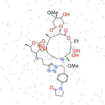 CC[C@H]1OC(=O)[C@H](C)[C@@H](O[C@H]2C[C@@](C)(OC)[C@@H](O)[C@H](C)O2)[C@H](C)[C@@H](O[C@@H]2O[C@H](C)C[C@H](N(C)CCc3cn([C@H](CF)[C@H](OC)c4ccc(N5CCCC5=O)cc4)nn3)[C@H]2O)[C@](C)(O)C[C@@H](C)CN(C)[C@H](C)[C@@H](O)[C@]1(C)O